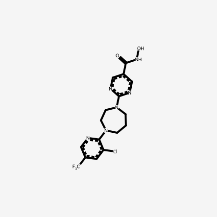 O=C(NO)c1cnc(N2CCCN(c3ncc(C(F)(F)F)cc3Cl)CC2)nc1